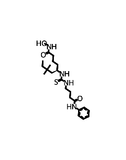 CCC(C)(C)C[C@@H](CCCC(=O)NO)NC(=S)NCCCC(=O)Nc1ccccc1